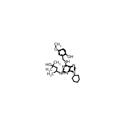 COc1ccc(O)c(CNc2nc(NC(C)CC(C)(C)O)nc3c2ncn3C2CCCCC2)c1